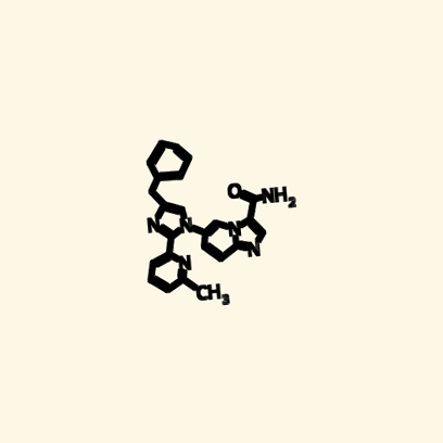 Cc1cccc(-c2nc(Cc3ccccc3)cn2-c2ccc3ncc(C(N)=O)n3c2)n1